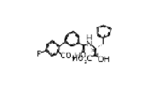 O=C(N[C@H](Cc1ccccc1)[C@@H](O)C(=O)O)c1cccc(-c2ccc(F)cc2C(=O)O)c1